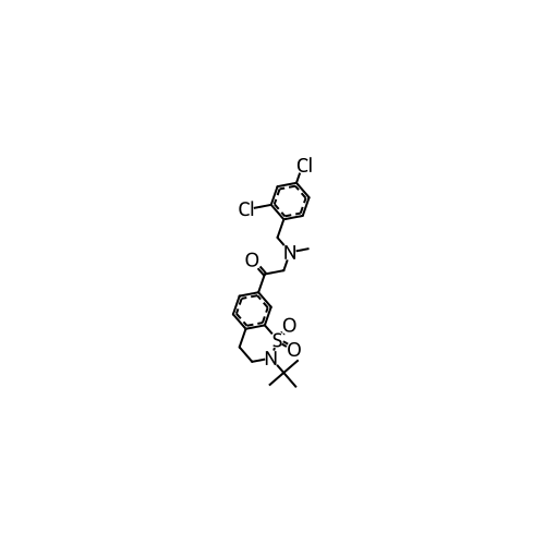 CN(CC(=O)c1ccc2c(c1)S(=O)(=O)N(C(C)(C)C)CC2)Cc1ccc(Cl)cc1Cl